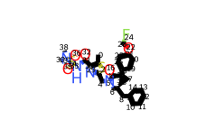 Cc1sc(CN(CCCc2ccccc2)C(=O)C2(c3ccc(OCF)cc3)CC2)nc1C(=O)NS(=O)(=O)N(C)C